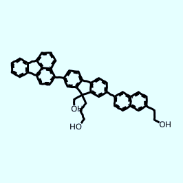 OCCCC1(CO)c2cc(-c3ccc4cc(CCO)ccc4c3)ccc2-c2ccc(-c3ccc4c5c(cccc35)-c3ccccc3-4)cc21